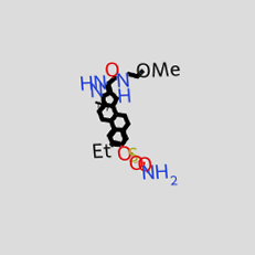 CCc1cc2c(cc1OSOON)CCC1C2CC[C@]2(C)c3n[nH]c(C(=O)NCCOC)c3CC12